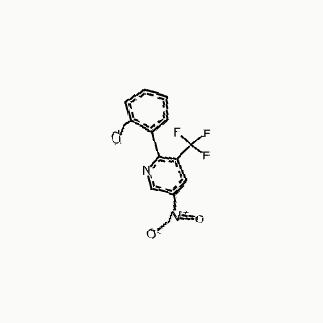 O=[N+]([O-])c1cnc(-c2ccccc2Cl)c(C(F)(F)F)c1